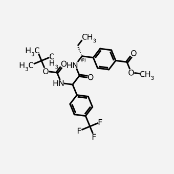 CC[C@@H](NC(=O)C(NC(=O)OC(C)(C)C)c1ccc(C(F)(F)F)cc1)c1ccc(C(=O)OC)cc1